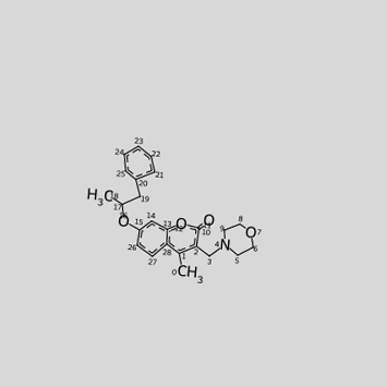 Cc1c(CN2CCOCC2)c(=O)oc2cc(OC(C)Cc3ccccc3)ccc12